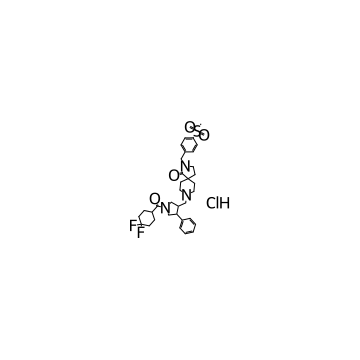 CS(=O)(=O)c1ccc(CN2CCC3(CCN(CC4CN(C(=O)C5CCC(F)(F)CC5)CC4c4ccccc4)CC3)C2=O)cc1.Cl